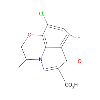 CC1COc2c(Cl)cc(F)c3c(=O)c(C(=O)O)cn1c23